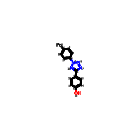 CC(C)c1ccc(-n2nnc(-c3ccc(O)cc3)n2)cc1